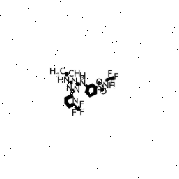 CC(C)Nc1nc(Nc2cccc(S(=O)(=O)NCC(F)(F)F)c2)nc(-c2cccc(C(F)(F)F)n2)n1